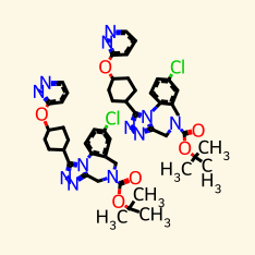 CC(C)(C)OC(=O)N1Cc2cc(Cl)ccc2-n2c(nnc2C2CCC(Oc3cccnn3)CC2)C1.CC(C)(C)OC(=O)N1Cc2cc(Cl)ccc2-n2c(nnc2C2CCC(Oc3cccnn3)CC2)C1